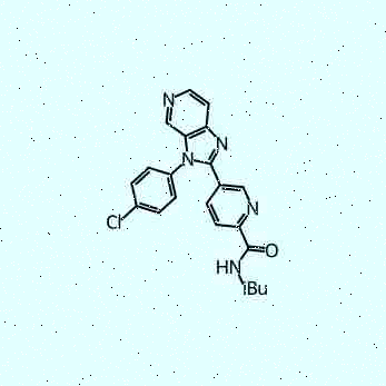 CCC(C)NC(=O)c1ccc(-c2nc3ccncc3n2-c2ccc(Cl)cc2)cn1